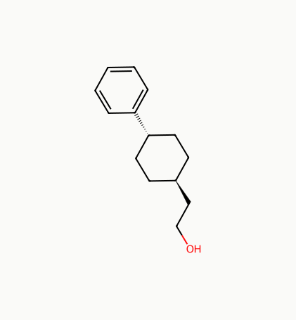 OCC[C@H]1CC[C@H](c2ccccc2)CC1